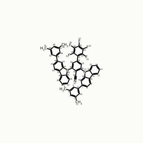 Cc1cc(C)cc(-c2ccc3c4ccccc4n(-c4cc(-c5c(F)c(F)c(F)c(F)c5F)cc(-n5c6ccccc6c6ccc(-c7cc(C)cc(C)c7)cc65)c4C#N)c3c2)c1